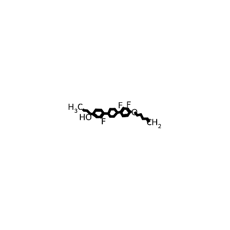 C=CCCCOc1ccc(C2CCC(c3ccc(C(O)CCC)cc3F)CC2)c(F)c1F